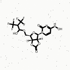 O=C1O[C@@H]2[C@H](O1)[C@@H](COC(O)C(C(F)(F)F)C(F)(F)F)O[C@H]2n1ccc(NO)nc1=O